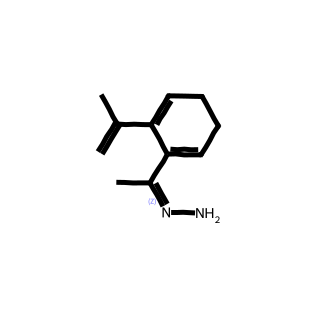 C=C(C)C1=CCCC=C1/C(C)=N\N